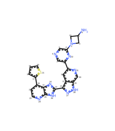 NC1CN(c2cncc(-c3cc4c(-c5nc6c(-c7cccs7)ccnc6[nH]5)n[nH]c4cn3)n2)C1